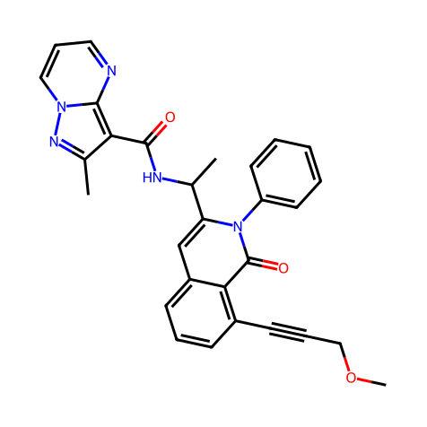 COCC#Cc1cccc2cc(C(C)NC(=O)c3c(C)nn4cccnc34)n(-c3ccccc3)c(=O)c12